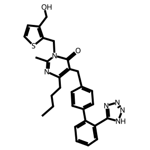 CCCCc1nc(C)n(Cc2sccc2CO)c(=O)c1Cc1ccc(-c2ccccc2-c2nnn[nH]2)cc1